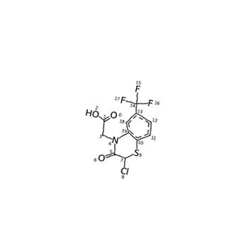 O=C(O)CN1C(=O)C(Cl)Sc2ccc(C(F)(F)F)cc21